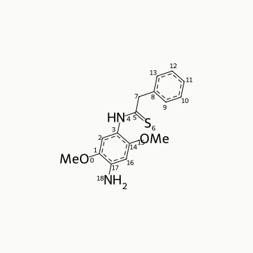 COc1cc(NC(=S)Cc2ccccc2)c(OC)cc1N